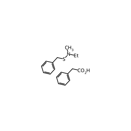 CCN(C)SCc1ccccc1.O=C(O)Cc1ccccc1